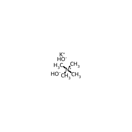 C[N+](C)(C)C.[K+].[OH-].[OH-]